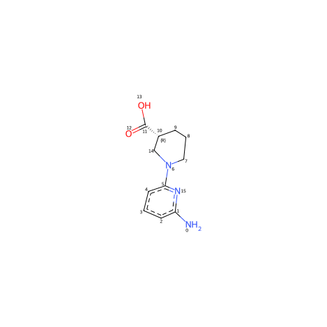 Nc1cccc(N2CCC[C@@H](C(=O)O)C2)n1